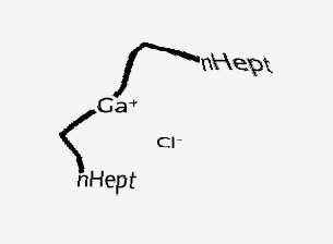 CCCCCCC[CH2][Ga+][CH2]CCCCCCC.[Cl-]